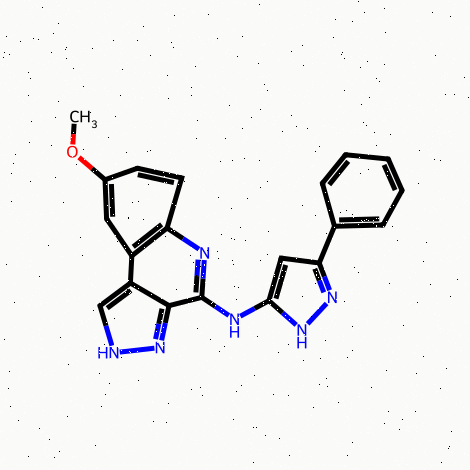 COc1ccc2nc(Nc3cc(-c4ccccc4)n[nH]3)c3n[nH]cc3c2c1